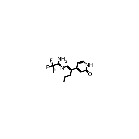 CCC/C(=C\N=C(/N)C(F)(F)F)c1cc[nH]c(=O)c1